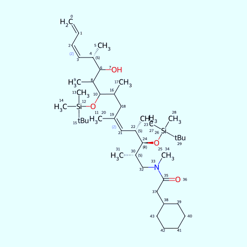 C=C/C=C\[C@H](C)C(O)C(C)C(O[Si](C)(C)C(C)(C)C)C(C)C/C(C)=C\[C@H](C)[C@@H](O[Si](C)(C)C(C)(C)C)[C@@H](C)CN(C)C(=O)CC1CCCCC1